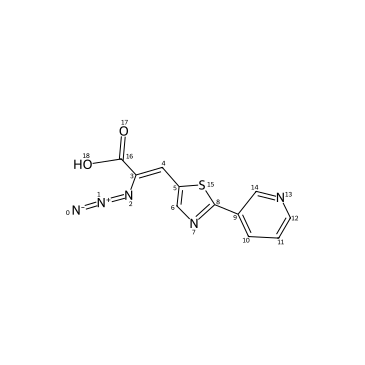 [N-]=[N+]=N/C(=C\c1cnc(-c2cccnc2)s1)C(=O)O